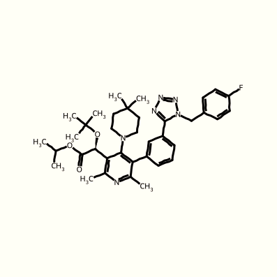 Cc1nc(C)c([C@H](OC(C)(C)C)C(=O)OC(C)C)c(N2CCC(C)(C)CC2)c1-c1cccc(-c2nnnn2Cc2ccc(F)cc2)c1